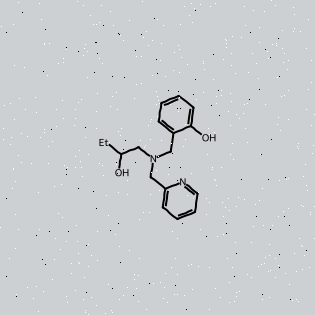 CCC(O)CN(Cc1ccccn1)Cc1ccccc1O